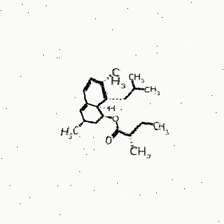 CC[C@H](C)C(=O)O[C@H]1C[C@@H](C)C=C2C=C[C@H](C)[C@H](CC(C)C)[C@H]21